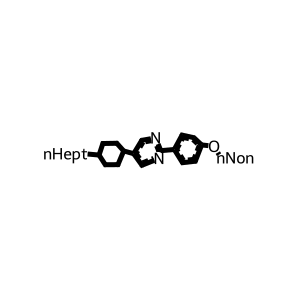 CCCCCCCCCOc1ccc(-c2ncc(C3CCC(CCCCCCC)CC3)cn2)cc1